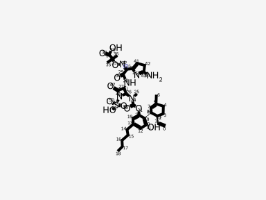 C=C[C@@H]1CCC(C)=C[C@H]1c1c(O)cc(CCCCC)cc1OC(=O)N(C)C1[C@H](NC(=O)/C(=N\OC(C)(C)C(=O)O)C2=CCC(N)=N2)C(=O)N1S(=O)(=O)O